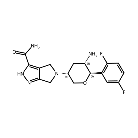 NC(=O)c1[nH]nc2c1CN([C@H]1CO[C@H](c3cc(F)ccc3F)[C@@H](N)C1)C2